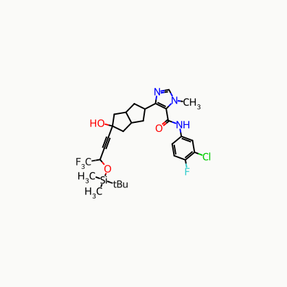 Cn1cnc(C2CC3CC(O)(C#CC(O[Si](C)(C)C(C)(C)C)C(F)(F)F)CC3C2)c1C(=O)Nc1ccc(F)c(Cl)c1